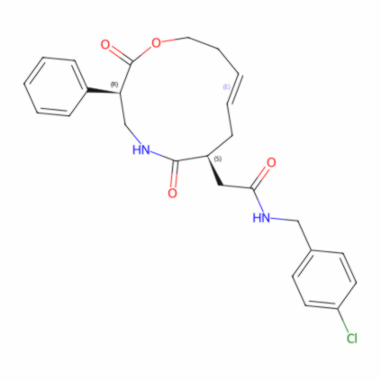 O=C(C[C@@H]1C/C=C/CCOC(=O)[C@H](c2ccccc2)CNC1=O)NCc1ccc(Cl)cc1